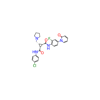 O=C(Nc1ccc(-n2ccccc2=O)cc1F)[C@@H]1[C@@H](CN2CCCC2)[C@@H]1C(=O)Nc1ccc(Cl)cc1